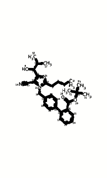 CCCCc1nc(C(O)C(C)C)c(C#N)n1Cc1ccc(-c2ccccc2C(=O)OC(C)(C)C)cc1